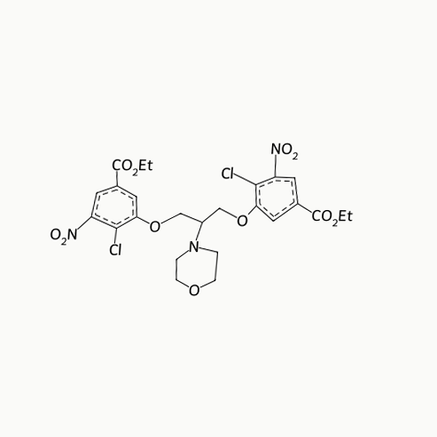 CCOC(=O)c1cc(OCC(COc2cc(C(=O)OCC)cc([N+](=O)[O-])c2Cl)N2CCOCC2)c(Cl)c([N+](=O)[O-])c1